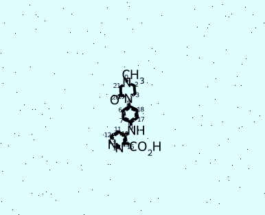 CN1CCN(c2ccc(Nc3ccnnc3C(=O)O)cc2)C(=O)C1